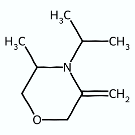 C=C1COCC(C)N1C(C)C